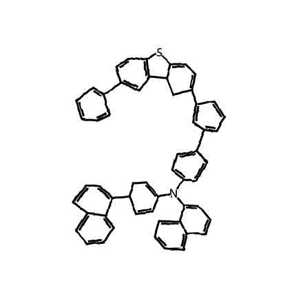 C1=CC(c2cccc3ccccc23)CC=C1N(c1ccc(-c2cccc(C3=CC=C4Sc5ccc(-c6ccccc6)cc5C4C3)c2)cc1)c1cccc2ccccc12